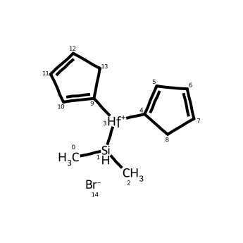 C[SiH](C)[Hf+]([C]1=CC=CC1)[C]1=CC=CC1.[Br-]